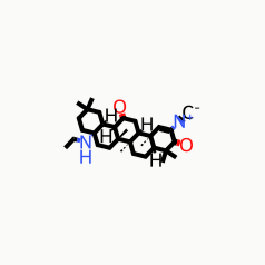 [C-]#[N+]C1=C[C@]2(C)[C@H]3CC(=O)[C@@H]4[C@@H]5CC(C)(C)CC[C@]5(NCC)CC[C@@]4(C)[C@]3(C)CC[C@H]2C(C)(C)C1=O